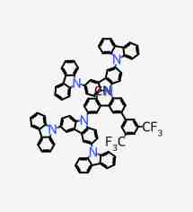 N#Cc1ccc(-n2c3ccc(-n4c5ccccc5c5ccccc54)cc3c3cc(-n4c5ccccc5c5ccccc54)ccc32)cc1-c1cc(-c2cc(C(F)(F)F)cc(C(F)(F)F)c2)ccc1-n1c2ccc(-n3c4ccccc4c4ccccc43)cc2c2cc(-n3c4ccccc4c4ccccc43)ccc21